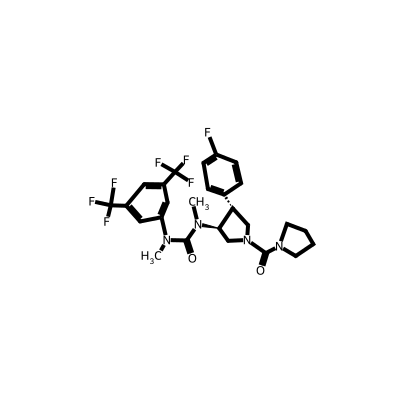 CN(C(=O)N(C)[C@@H]1CN(C(=O)N2CCCC2)C[C@H]1c1ccc(F)cc1)c1cc(C(F)(F)F)cc(C(F)(F)F)c1